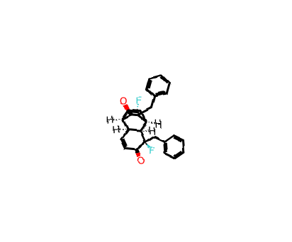 O=C1C=C[C@@H]2[C@@H]([C@@H]3C=C[C@H]2C(=O)[C@@]3(F)Cc2ccccc2)[C@]1(F)Cc1ccccc1